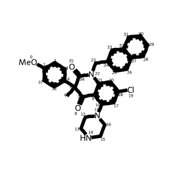 COc1ccc(C2(C)C(=O)c3c(N4CCNCC4)cc(Cl)cc3N(Cc3ccc4ccccc4c3)C2=O)cc1